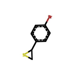 Brc1ccc(C2CS2)cc1